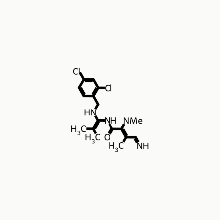 CN/C(C(=O)NC(NCc1ccc(Cl)cc1Cl)=C(C)C)=C(/C)C=N